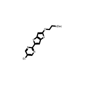 CCCCCCCCCCCCOc1cc2sc(-c3ncc(CC)cn3)cc2s1